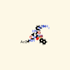 CC(=O)OCCNC(=O)CN(C(=O)[C@H](CC(=O)N[C@H]1CCCN(C=NN)C1)NS(=O)(=O)c1ccc2ccccc2c1)C1CC1